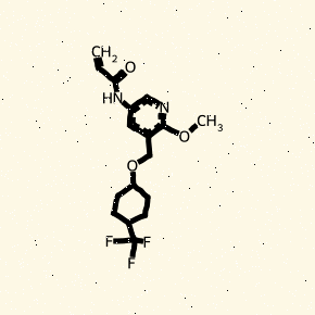 C=CC(=O)Nc1cnc(OC)c(COC2CCC(C(F)(F)F)CC2)c1